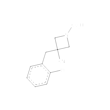 N#CC1(Cc2ccccc2Br)CN(C(=O)O)C1